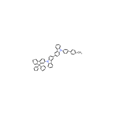 Cc1ccc(-c2ccc(-n3c4ccccc4c4cc(-c5ccc6c(c5)c5ccccc5n6-c5ccc6c(c5)C(c5ccccc5)(c5ccccc5)c5ccccc5-6)ccc43)cc2)cc1